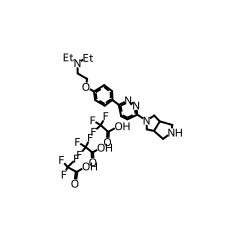 CCN(CC)CCOc1ccc(-c2ccc(N3CC4CNCC4C3)nn2)cc1.O=C(O)C(F)(F)F.O=C(O)C(F)(F)F.O=C(O)C(F)(F)F